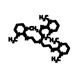 CN1CCCN(C)C1=NCCN(CCN=C1N(C)CCCN1C)CCN=C1N(C)CCCN1C